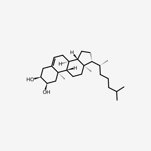 CC(C)CCC[C@@H](C)[C@H]1CC[C@H]2[C@@H]3CC=C4C[C@H](O)[C@H](O)C[C@]4(C)[C@H]3CC[C@]12C